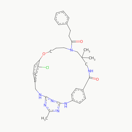 Cc1nc2nc(n1)Nc1ccc(cc1)C(=O)NCC(C)(C)CN(C(=O)CCc1ccccc1)CCCOc1ccc(cc1Cl)CN2